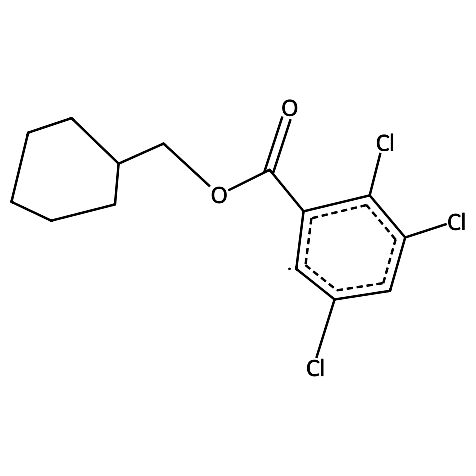 O=C(OCC1CCCCC1)c1[c]c(Cl)cc(Cl)c1Cl